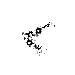 COCCOc1ccc(Nc2ncc(Br)c(Nc3cccc(NC(=O)OC(C)(C)C)c3)n2)cc1